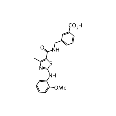 COc1ccccc1Nc1nc(C)c(C(=O)NCc2cccc(C(=O)O)c2)s1